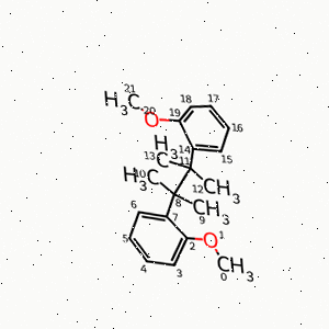 COc1ccccc1C(C)(C)C(C)(C)c1ccccc1OC